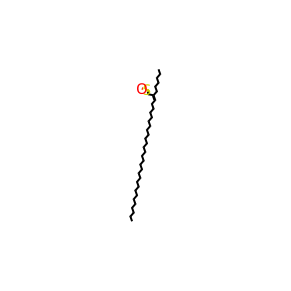 CCCCCCCCCCCCCCCCCCCCCCCCCCCCC=C(C=S=O)CCCCCC